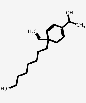 C=CC1(CCCCCCCC)C=CC(C(C)O)=CC1